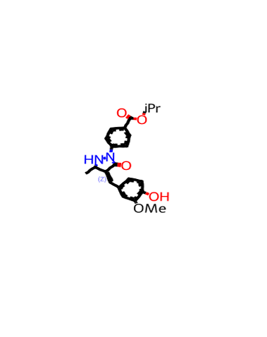 COc1cc(/C=C2\C(=O)N(c3ccc(C(=O)OC(C)C)cc3)NC2C)ccc1O